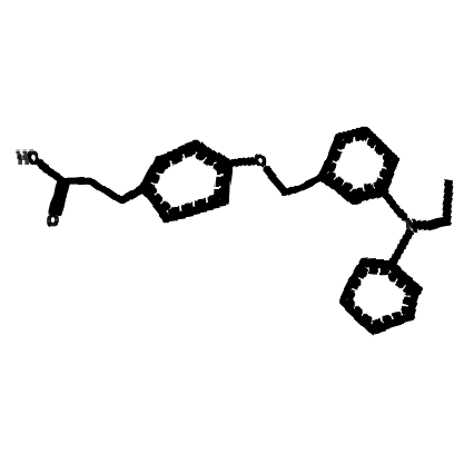 CCN(c1ccccc1)c1cccc(COc2ccc(CCC(=O)O)cc2)c1